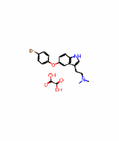 CN(C)CCc1c[nH]c2ccc(Oc3ccc(Br)cc3)cc12.O=C(O)C(=O)O